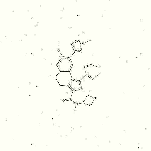 C/C=C\C(=C/C)n1nc(C(=O)N(C)C2COC2)c2c1-c1cc(-c3ccn(C)n3)c(OC)cc1OC2